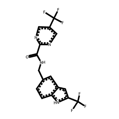 O=C(NCc1ccc2[nH]c(C(F)(F)F)cc2c1)c1ncc(C(F)(F)F)cn1